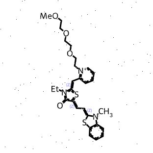 CCn1c(=O)/c(=C/C=C2\Sc3ccccc3N2C)s/c1=C\c1cccc[n+]1CCOCCOCCOC